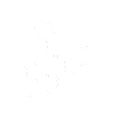 C1=C(n2cncn2)[CH]([Hf+2][CH]2C(n3cncn3)=Cc3ccccc32)c2ccccc21.[Cl-].[Cl-]